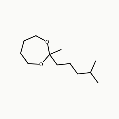 CC(C)CCCC1(C)OCCCCO1